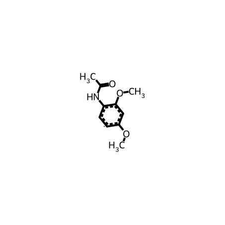 COc1[c]cc(NC(C)=O)c(OC)c1